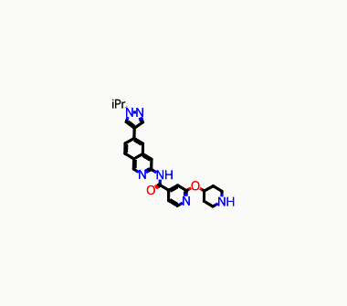 CC(C)n1cc(-c2ccc3cnc(NC(=O)c4ccnc(OC5CCNCC5)c4)cc3c2)cn1